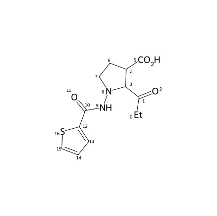 CCC(=O)C1C(C(=O)O)CCN1NC(=O)c1cccs1